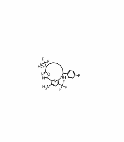 Nc1cc(C(F)(F)F)c2nc1-c1nnc(o1)[C@@](O)(C(F)(F)F)CCCCCC(c1ccc(F)cc1)N2